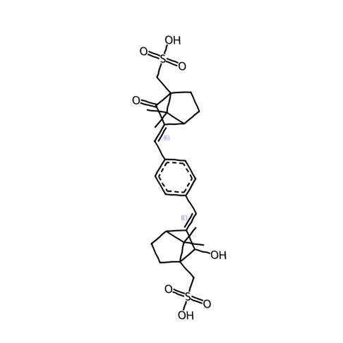 CC1(C)C2CCC1(CS(=O)(=O)O)C(=O)/C2=C/c1ccc(/C=C2\C3CCC(CS(=O)(=O)O)(C2O)C3(C)C)cc1